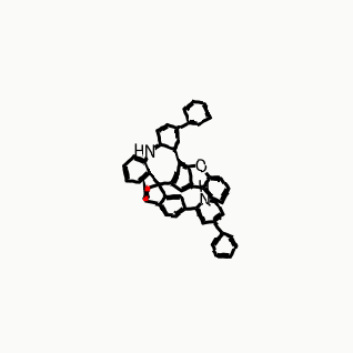 C1=CC2Nc3ccccc3C3(c4cc(c5oc6ccccc6c5c4)C2C=C1c1ccccc1)c1ccccc1-c1ccc(C2=CC(c4ccccc4)=CCN2)cc13